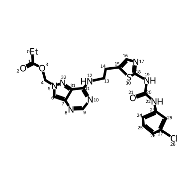 CCC(=O)OCn1cc2ncnc(NCCc3cnc(NC(=O)Nc4cccc(Cl)c4)s3)c2n1